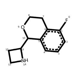 Fc1cccc2c1CCOC2C1CCN1